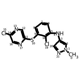 Cn1cc(Nc2cccc(Sc3cnc(Cl)cn3)c2Cl)cn1